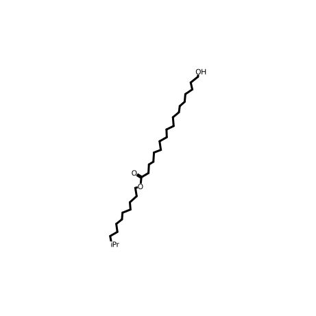 CC(C)CCCCCCCCCOC(=O)CCCCCCCCCCCCCCCCCO